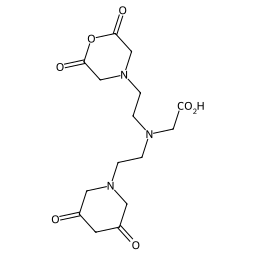 O=C(O)CN(CCN1CC(=O)CC(=O)C1)CCN1CC(=O)OC(=O)C1